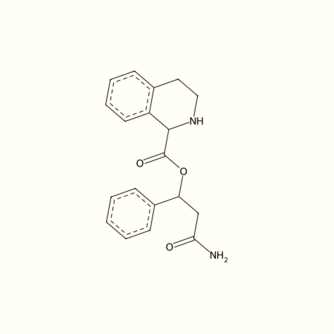 NC(=O)CC(OC(=O)C1NCCc2ccccc21)c1ccccc1